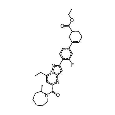 CCOC(=O)C1CCC=C(c2ccc(-c3cc4nc(C(=O)N5CCCCC[C@H]5C)cc(CC)n4n3)c(F)c2)C1